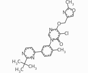 Cc1nc(COc2ncn(-c3cc(-c4ccnc(C(C)(C)C)n4)ccc3C)c(=O)c2Cl)co1